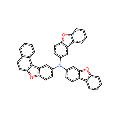 c1ccc2c(c1)ccc1oc3ccc(N(c4ccc5c(c4)oc4ccccc45)c4ccc5oc6ccccc6c5c4)cc3c12